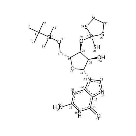 CC(C)(C)[Si](C)(C)OC[C@H]1O[C@@H](n2cnc3c(=O)[nH]c(N)nc32)[C@H](O)[C@@H]1O[P]1(S)SCCS1